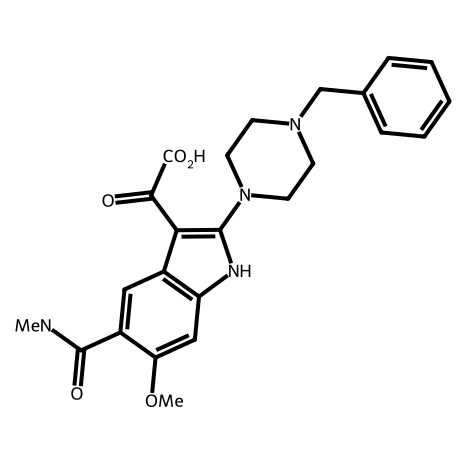 CNC(=O)c1cc2c(C(=O)C(=O)O)c(N3CCN(Cc4ccccc4)CC3)[nH]c2cc1OC